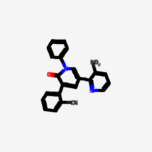 N#Cc1ccccc1-c1cc(-c2ncccc2[N+](=O)[O-])cn(-c2ccccc2)c1=O